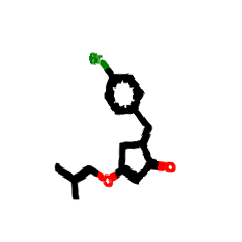 CC(C)COC1=CC(=O)C(Cc2ccc(Br)cc2)C1